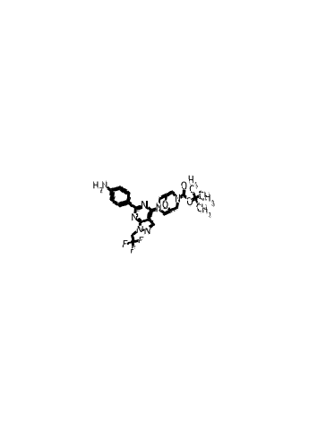 CC(C)(C)OC(=O)N1CC2CN(c3nc(-c4ccc(N)cc4)nc4c3cnn4CC(F)(F)F)CC(C1)O2